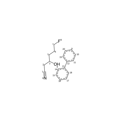 N#CCC(O)CCCF.c1ccc(-c2ccccc2)cc1